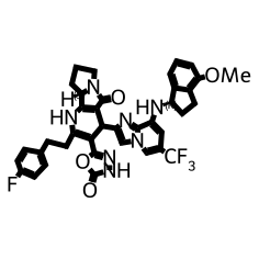 COc1cccc2c1CC[C@H]2Nc1cc(C(F)(F)F)cn2cc(C3C4=C(NC(CCc5ccc(F)cc5)=C3c3n[nH]c(=O)o3)[C@@H]3CCCN3C4=O)nc12